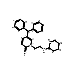 O=c1ccc(C(c2ccccc2)c2ccccc2)cn1CCOC1CCCCO1